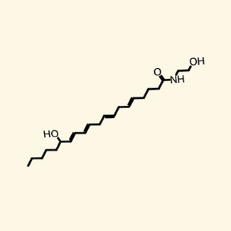 CCCCCC(O)C=CC=CCC=CCC=CCCCC(=O)NCCO